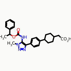 CC(OC(=O)Nc1c(-c2ccc(C3CCC(CC(=O)O)CC3)cc2)nnn1C)c1ccccc1